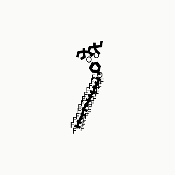 CCC(C)(CC)CC(C(=O)Oc1ccc(OC(F)(F)C(F)(F)C(F)(F)C(F)(F)C(F)(F)C(F)(F)C(F)(F)C(F)(F)C(F)(F)C(F)(F)C(F)(F)C(F)(F)F)cc1)C(C)(CC)CC